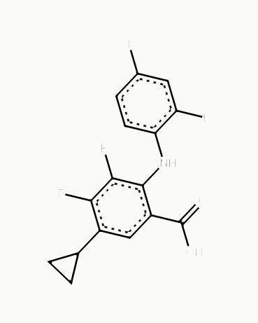 O=C(O)c1cc(C2CC2)c(F)c(F)c1Nc1ccc(I)cc1F